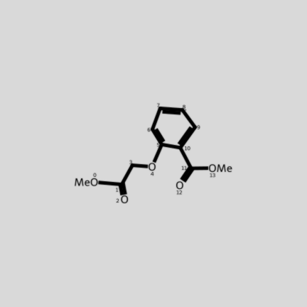 COC(=O)COc1cc[c]cc1C(=O)OC